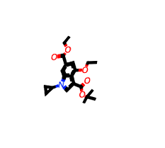 CCOC(=O)c1cc(OCC)c2c(C(=O)OC(C)(C)C)cn(C3CC3)c2c1